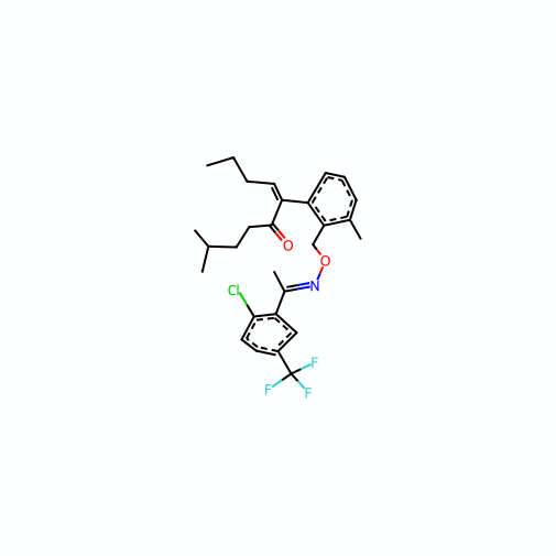 CCC/C=C(\C(=O)CCC(C)C)c1cccc(C)c1CO/N=C(\C)c1cc(C(F)(F)F)ccc1Cl